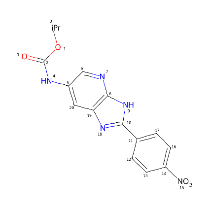 CC(C)OC(=O)Nc1cnc2[nH]c(-c3ccc([N+](=O)[O-])cc3)nc2c1